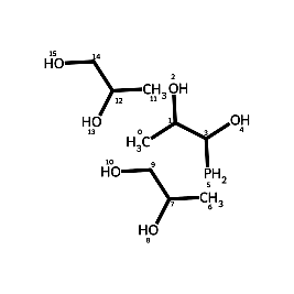 CC(O)C(O)P.CC(O)CO.CC(O)CO